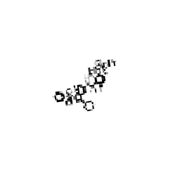 CCCS(=O)(=O)Nc1ccc(F)c(C(=O)Nc2cnc3c(c2)c(C2=CCCCC2)cn3S(=O)(=O)c2ccccc2)c1F